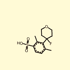 Cc1ccc(S(=O)(=O)O)c(C)c1C1(F)CCOCC1